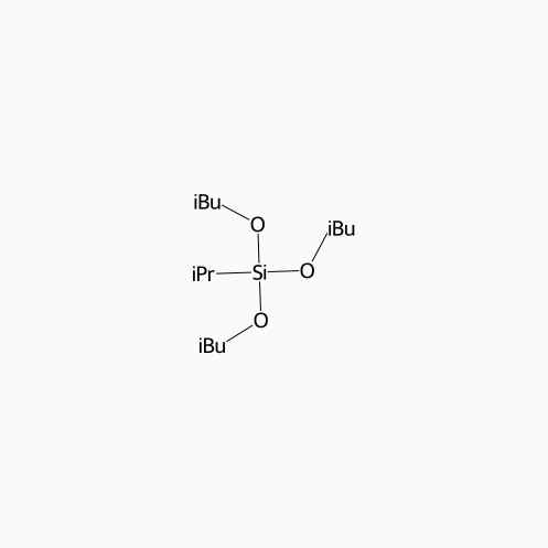 CCC(C)O[Si](OC(C)CC)(OC(C)CC)C(C)C